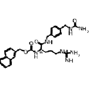 N=C(N)NCCC[C@@H](NC(=O)OCc1ccc2ccccc2c1)C(=O)NCc1ccc(CNC(N)=O)cc1